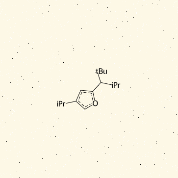 CC(C)c1coc(C(C(C)C)C(C)(C)C)c1